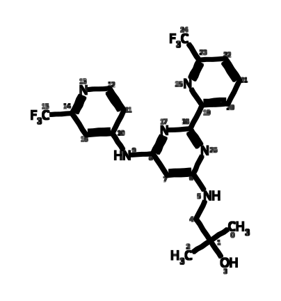 CC(C)(O)CNc1cc(Nc2ccnc(C(F)(F)F)c2)nc(-c2cccc(C(F)(F)F)n2)n1